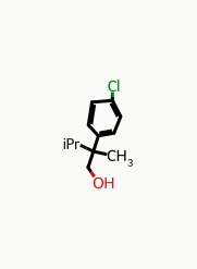 CC(C)C(C)(CO)c1ccc(Cl)cc1